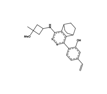 C=Cc1ccc(-c2nnc(NC3CC(C)(OC)C3)c3c2C2CCC3CC2)c(O)c1